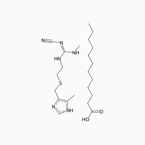 CCCCCCCCCCCC(=O)O.CN/C(=N/C#N)NCCSCc1nc[nH]c1C